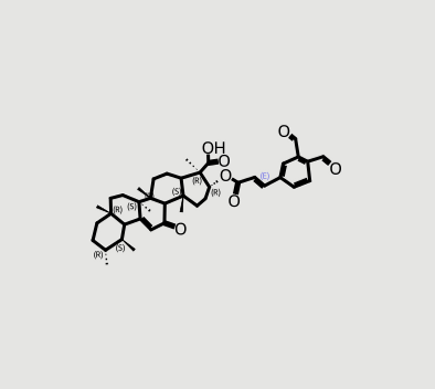 C[C@@H]1CC[C@]2(C)CC[C@]3(C)C(=CC(=O)C4[C@@]5(C)CC[C@@H](OC(=O)/C=C/c6ccc(C=O)c(C=O)c6)[C@](C)(C(=O)O)C5CC[C@]43C)C2[C@H]1C